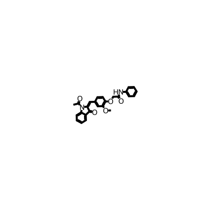 COc1cc(C=C2C(=O)c3ccccc3N2C(C)=O)ccc1OCC(=O)Nc1ccccc1